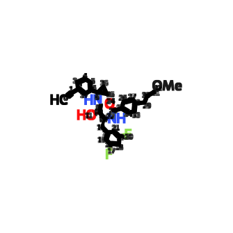 C#Cc1cccc(C2(NC[C@@H](O)[C@H](Cc3cc(F)cc(F)c3)NC(=O)c3ccc(CCCOC)cc3)CC2)c1